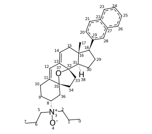 CCC[N+]([O-])(CCC)[C@@H]1CCC2=CC3=CC[C@]4(C)[C@@H](c5ccc6ccccc6c5)CC[C@H]4[C@@]34CC[C@]2(C1)O4